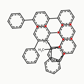 CC1(C)c2ccccc2-c2cccc(N(c3ccccc3-c3ccc(-c4ccccc4)cc3)c3cccc(-c4ccccc4)c3-c3ccccc3-c3ccccc3)c21